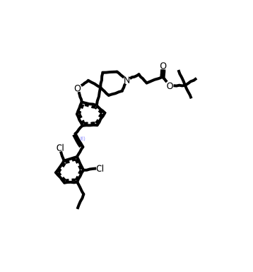 CCc1ccc(Cl)c(/C=C/c2ccc3c(c2)OCC32CCN(CCC(=O)OC(C)(C)C)CC2)c1Cl